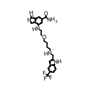 NC(=O)c1cc(NCCOCCCCNCc2cc3cc(C(F)(F)F)ccc3[nH]2)c2cn[nH]c2c1